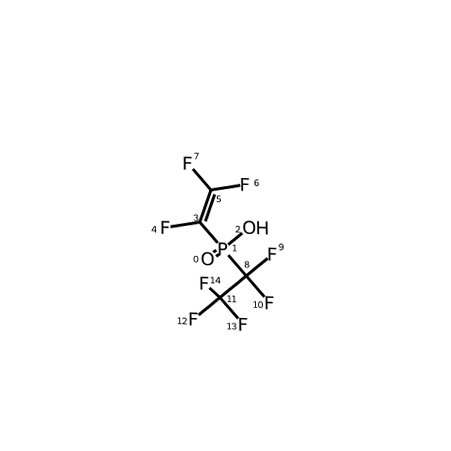 O=P(O)(C(F)=C(F)F)C(F)(F)C(F)(F)F